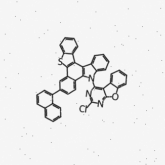 Clc1nc(-n2c3ccccc3c3c4c5ccccc5sc4c4cc(-c5cccc6ccccc56)ccc4c32)c2c(n1)oc1ccccc12